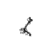 Cc1ncsc1-c1ccc(CNC(=O)[C@@H]2C[C@@H](O)CN2C[C@@H](NC(=O)COCCOCCOCC(=O)N(C)c2ccc3ncc(-c4ccccc4Cl)n3c2)C(C)(C)C)cc1